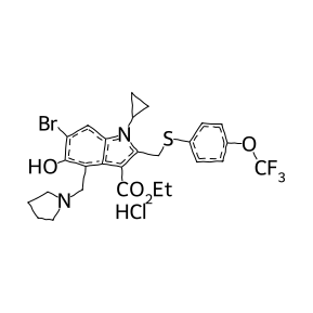 CCOC(=O)c1c(CSc2ccc(OC(F)(F)F)cc2)n(C2CC2)c2cc(Br)c(O)c(CN3CCCC3)c12.Cl